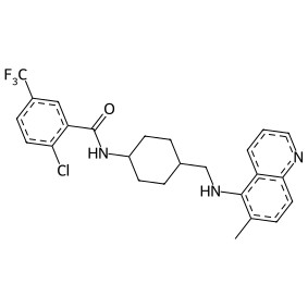 Cc1ccc2ncccc2c1NCC1CCC(NC(=O)c2cc(C(F)(F)F)ccc2Cl)CC1